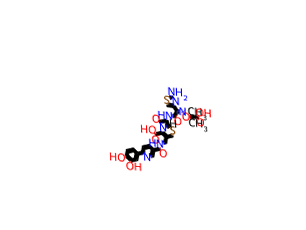 CC(C)(O/N=C(\C(=O)NC1C(=O)N2C(C(=O)O)=C(CNC(=O)c3ccc(-c4ccc(O)c(O)c4)nc3)CS[C@@H]12)c1csc(N)n1)C(=O)O